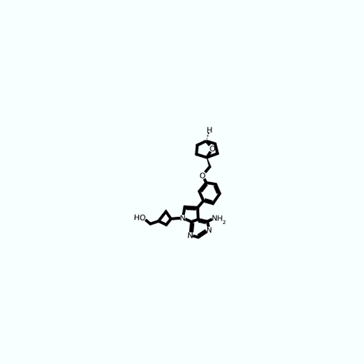 Nc1ncnc2c1c(-c1cccc(OC[C@]34CC[C@@H](CC3)O4)c1)cn2C1CC(CO)C1